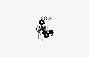 NC1=NC=NN2C1=C(c1cc3cccc(-c4cccs4)c3[nH]1)NC2[C@H]1CC[C@H](C(=O)O)CC1